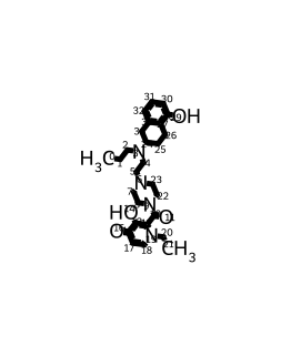 CCCN(CCN1CCN(C(=O)c2c(O)c(=O)ccn2CC)CC1)C1CCc2c(O)cccc2C1